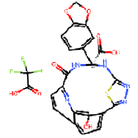 O=C(O)C(F)(F)F.O=C1N[C@@](C(=O)O)(c2ccc3c(c2)OCO3)Nc2nnc(s2)-c2ccc3ccc1nc3c2O